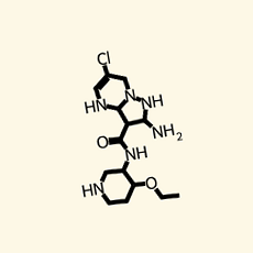 CCOC1CCNCC1NC(=O)C1C(N)NN2CC(Cl)=CNC12